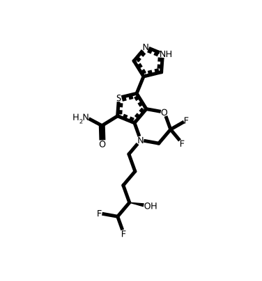 NC(=O)c1sc(-c2cn[nH]c2)c2c1N(CCC[C@@H](O)C(F)F)CC(F)(F)O2